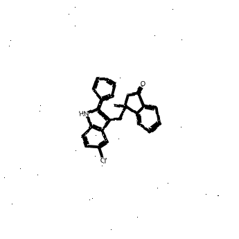 CC1(Cc2c(-c3ccccc3)[nH]c3ccc(Cl)cc23)CC(=O)c2ccccc21